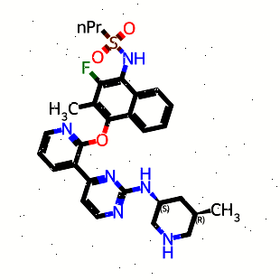 CCCS(=O)(=O)Nc1c(F)c(C)c(Oc2ncccc2-c2ccnc(N[C@@H]3CNC[C@H](C)C3)n2)c2ccccc12